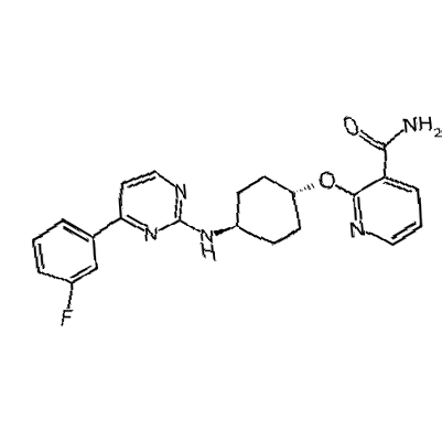 NC(=O)c1cccnc1O[C@H]1CC[C@H](Nc2nccc(-c3cccc(F)c3)n2)CC1